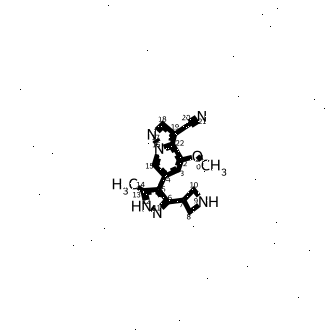 COc1cc(-c2c(C3CNC3)n[nH]c2C)cn2ncc(C#N)c12